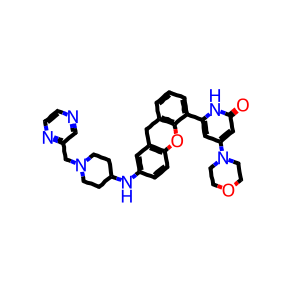 O=c1cc(N2CCOCC2)cc(-c2cccc3c2Oc2ccc(NC4CCN(Cc5cnccn5)CC4)cc2C3)[nH]1